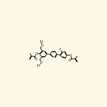 C=C(C)C(=O)Oc1ccc(-c2ccc(-c3cc(COCC)c(OC(=O)C(=C)C)c(COCC)c3)cc2)c(F)c1